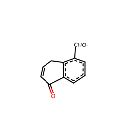 O=[C]c1cccc2c1CC=CC2=O